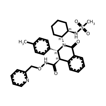 Cc1ccc([C@H]2[C@H](C(=O)NOCc3ccccn3)c3ccccc3C(=O)N2[C@@H]2CCCC[C@H]2NS(C)(=O)=O)cc1